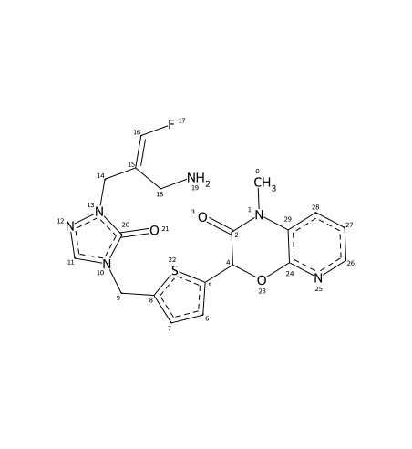 CN1C(=O)C(c2ccc(Cn3cnn(C/C(=C/F)CN)c3=O)s2)Oc2ncccc21